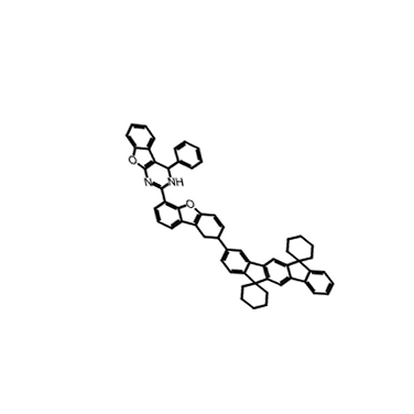 C1=CC(c2ccc3c(c2)-c2cc4c(cc2C32CCCCC2)-c2ccccc2C42CCCCC2)Cc2c1oc1c(C3=Nc4oc5ccccc5c4C(c4ccccc4)N3)cccc21